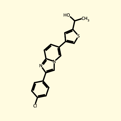 CC(O)c1cc(-c2ccc3nc(-c4ccc(Cl)cc4)cn3c2)cs1